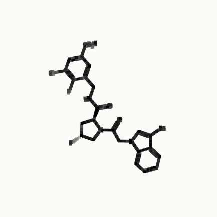 CC(=O)c1cn(CC(=O)N2C[C@H](F)C[C@H]2C(=O)NCc2cc(C(=O)O)cc(Cl)c2F)c2ccccc12